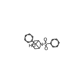 O=S(=O)(c1ccccc1)N1C2CCCC1C2(O)c1ccccc1